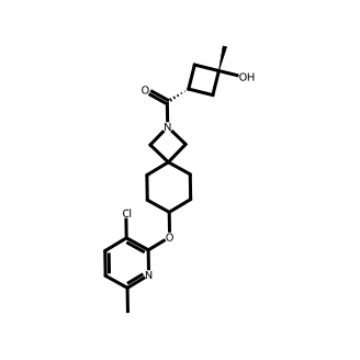 Cc1ccc(Cl)c(OC2CCC3(CC2)CN(C(=O)[C@H]2C[C@@](C)(O)C2)C3)n1